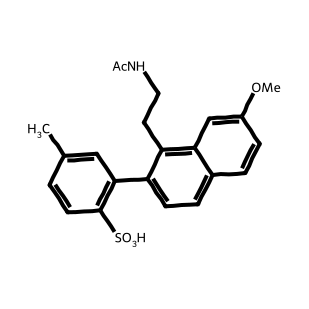 COc1ccc2ccc(-c3cc(C)ccc3S(=O)(=O)O)c(CCNC(C)=O)c2c1